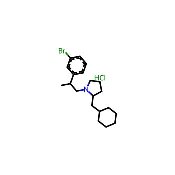 CC(CN1CCCC1CC1CCCCC1)c1cccc(Br)c1.Cl